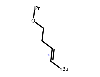 CCCC/C=C/CCOC(C)C